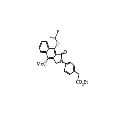 CCOC(=O)Cc1ccc(N2Cc3c(c(OC(F)F)c4ccccc4c3OC)C2=O)cc1